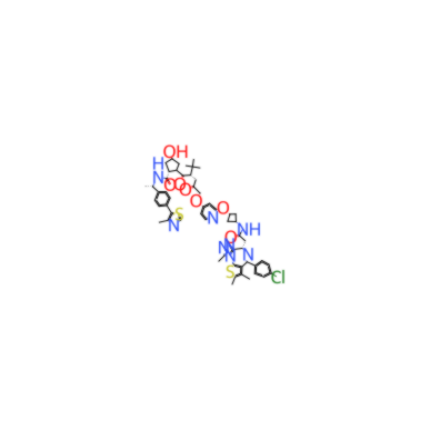 Cc1ncsc1-c1ccc([C@H](C)NC(=O)[C@@H]2C[C@@H](O)CC2C(=O)[C@@H](CC(=O)COc2ccnc(O[C@H]3C[C@H](NC(=O)C[C@@H]4N=C(c5ccc(Cl)cc5)c5c(sc(C)c5C)-n5c(C)nnc54)C3)c2)C(C)(C)C)cc1